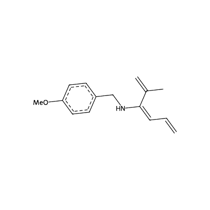 C=C/C=C(/NCc1ccc(OC)cc1)C(=C)C